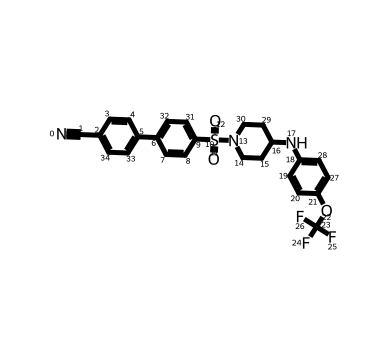 N#Cc1ccc(-c2ccc(S(=O)(=O)N3CCC(Nc4ccc(OC(F)(F)F)cc4)CC3)cc2)cc1